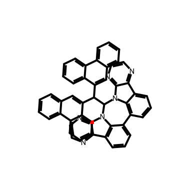 c1ccc2c(c1)cc(C(c1cc3ccccc3c3ccccc13)C1n3c4nccnc4c4cccc(c43)-c3cccc4c5nccnc5n1c34)c1ccccc12